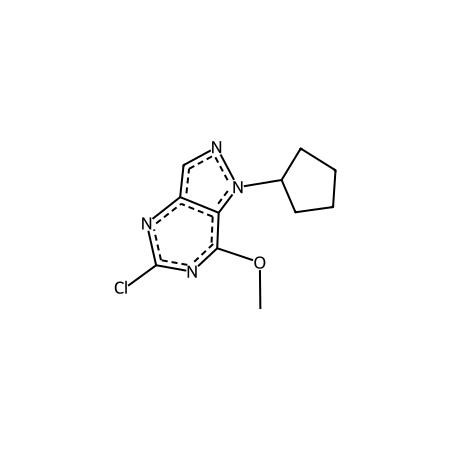 COc1nc(Cl)nc2cnn(C3CCCC3)c12